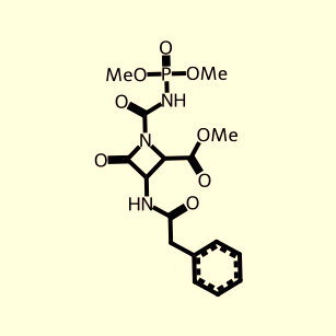 COC(=O)C1C(NC(=O)Cc2ccccc2)C(=O)N1C(=O)NP(=O)(OC)OC